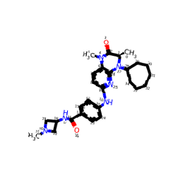 C[C@@H]1C(=O)N(C)c2ccc(Nc3ccc(C(=O)NC4CN(C)C4)cc3)nc2N1C1CCCCCC1